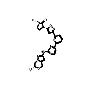 C[C@@H]1Cn2nc(Nc3nccc(-c4cccc(-c5cc([C@@H]6CCN(C)C6=O)on5)n4)n3)cc2CO1